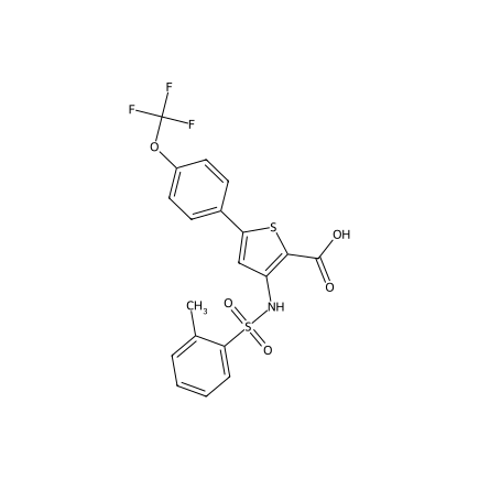 Cc1ccccc1S(=O)(=O)Nc1cc(-c2ccc(OC(F)(F)F)cc2)sc1C(=O)O